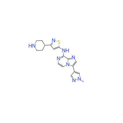 Cn1cc(-c2cnc3c(Nc4cc(C5CCNCC5)ns4)nccn23)cn1